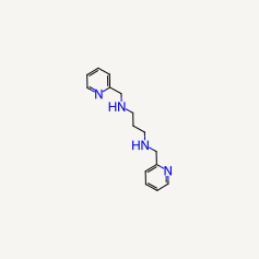 c1ccc(CNCCCNCc2ccccn2)nc1